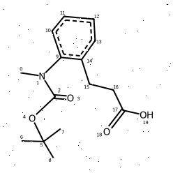 CN(C(=O)OC(C)(C)C)c1ccccc1CCC(=O)O